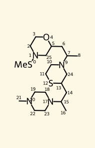 CSN1CCOC(CC(C)N2CCSC(CC(C)N3CCN(C)CC3)C2)C1